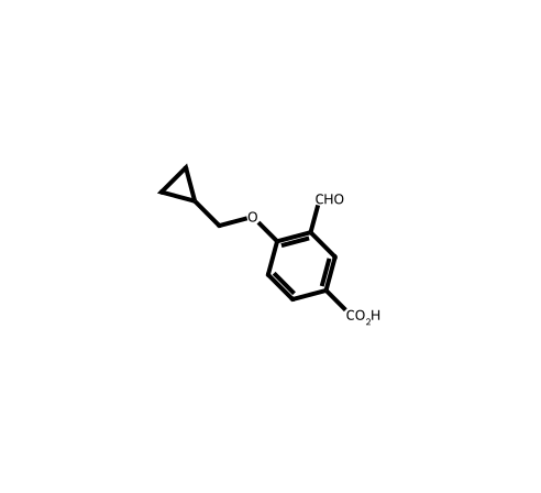 O=Cc1cc(C(=O)O)ccc1OCC1CC1